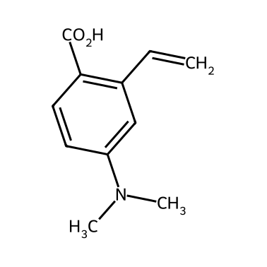 C=Cc1cc(N(C)C)ccc1C(=O)O